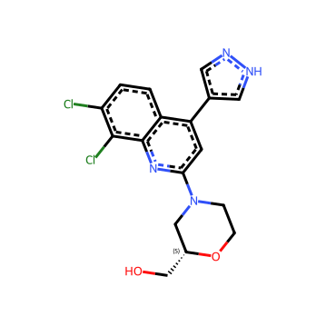 OC[C@@H]1CN(c2cc(-c3cn[nH]c3)c3ccc(Cl)c(Cl)c3n2)CCO1